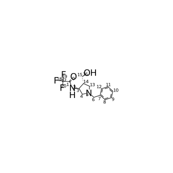 O=C(N[C@@H]1CN(Cc2ccccc2)C[C@H]1CO)C(F)(F)F